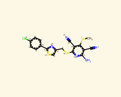 CSc1c(C#N)c(N)nc(SCc2csc(-c3ccc(Cl)cc3)n2)c1C#N